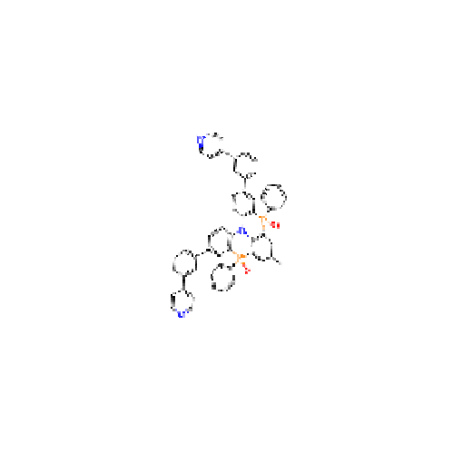 Cc1cc2c3c(c1)P(=O)(c1ccccc1)c1cc(-c4cccc(-c5ccncc5)c4)ccc1N3c1ccc(-c3cccc(-c4ccncc4)c3)cc1P2(=O)c1ccccc1